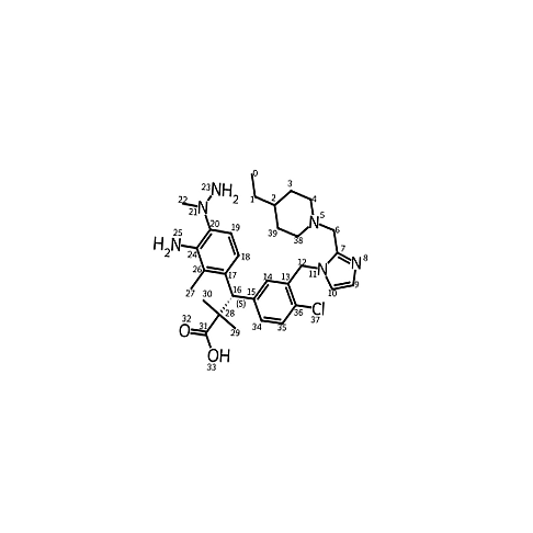 CCC1CCN(Cc2nccn2Cc2cc([C@@H](c3ccc(N(C)N)c(N)c3C)C(C)(C)C(=O)O)ccc2Cl)CC1